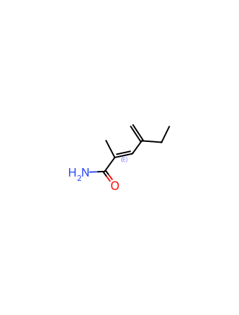 C=C(/C=C(\C)C(N)=O)CC